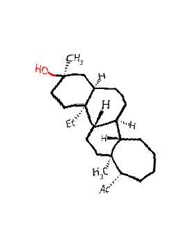 CC[C@]12CC[C@@](C)(O)C[C@H]1CC[C@H]1[C@@H]3CCCC[C@H](C(C)=O)[C@@]3(C)CC[C@@H]12